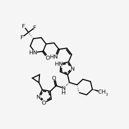 C[C@H]1CC[C@H]([C@H](NC(=O)c2conc2C2CC2)c2c[nH]c(/C=C\C(=N)CC3C[C@@H](C(F)(F)F)CNC3=O)n2)CC1